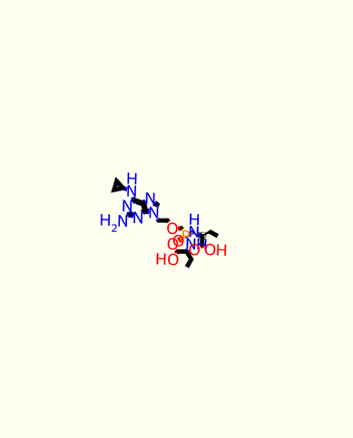 CCC(NP(=O)(COCCn1cnc2c(NC3CC3)nc(N)nc21)N[C@@H](CC)C(=O)O)C(=O)O